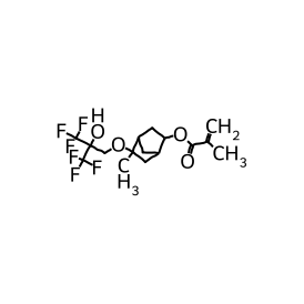 C=C(C)C(=O)OC1CC2CC1CC2(C)OCC(O)(C(F)(F)F)C(F)(F)F